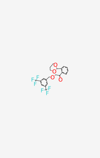 O=C(COCc1cc(C(F)(F)F)cc(C(F)(F)F)c1)c1ccccc1C1OCCCO1